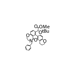 COC(=O)C(OC(C)(C)C)c1ccc2c(c1-c1ccc3c(c1)CCCO3)C(=O)N(Cc1ccccc1)CCO2